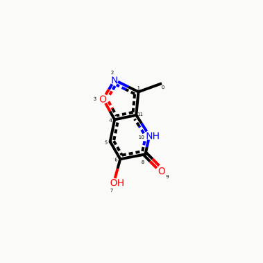 Cc1noc2cc(O)c(=O)[nH]c12